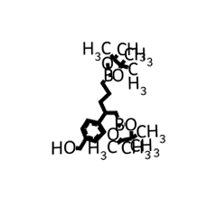 CC1(C)OB(CCCC(CB2OC(C)(C)C(C)(C)O2)c2ccc(CO)cc2)OC1(C)C